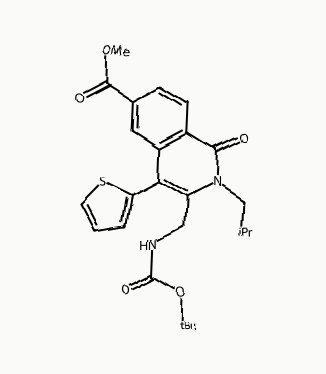 COC(=O)c1ccc2c(=O)n(CC(C)C)c(CNC(=O)OC(C)(C)C)c(-c3cccs3)c2c1